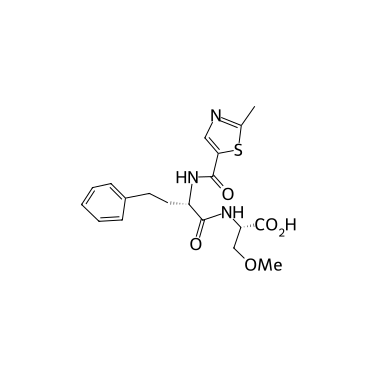 COC[C@H](NC(=O)[C@H](CCc1ccccc1)NC(=O)c1cnc(C)s1)C(=O)O